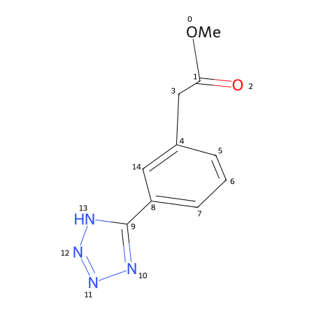 COC(=O)Cc1cccc(-c2nnn[nH]2)c1